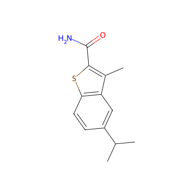 Cc1c(C(N)=O)sc2ccc(C(C)C)cc12